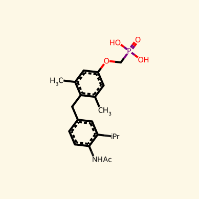 CC(=O)Nc1ccc(Cc2c(C)cc(OCP(=O)(O)O)cc2C)cc1C(C)C